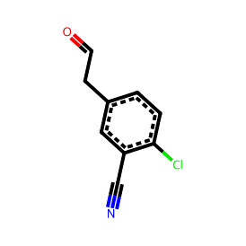 N#Cc1cc(CC=O)ccc1Cl